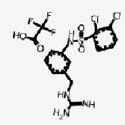 N=C(N)NCc1cccc(NS(=O)(=O)c2cccc(Cl)c2Cl)c1.O=C(O)C(F)(F)F